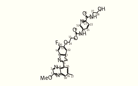 COc1cnc2c(-c3nc4cc(F)c(OCCOC(=O)Nc5ccc(C(=O)NCCO)nc5)cc4s3)cc(C)cc2n1